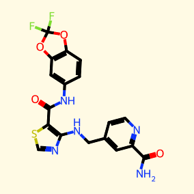 NC(=O)c1cc(CNc2ncsc2C(=O)Nc2ccc3c(c2)OC(F)(F)O3)ccn1